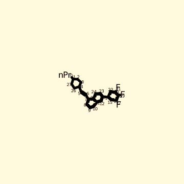 CCCC1CCC(C#Cc2cccc3cc(-c4cc(F)c(F)c(F)c4)ccc23)CC1